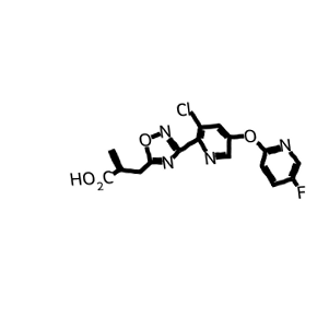 C=C(Cc1nc(-c2ncc(Oc3ccc(F)cn3)cc2Cl)no1)C(=O)O